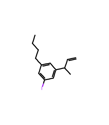 C=C[C](C)c1cc(I)cc(CCCC)c1